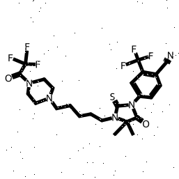 CC1(C)C(=O)N(c2ccc(C#N)c(C(F)(F)F)c2)C(=S)N1CCCCCN1CCN(C(=O)C(F)(F)F)CC1